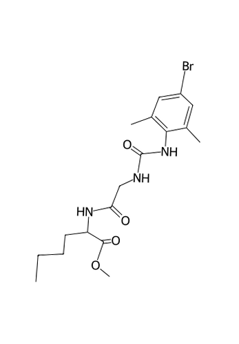 CCCCC(NC(=O)CNC(=O)Nc1c(C)cc(Br)cc1C)C(=O)OC